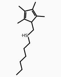 CCCCCC[SiH]CC1C(C)=C(C)C(C)=C1C